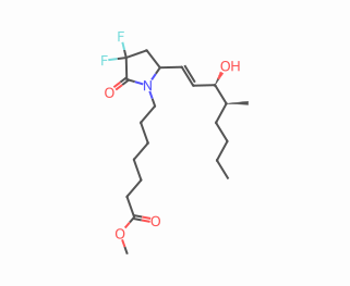 CCCC[C@H](C)[C@H](O)C=CC1CC(F)(F)C(=O)N1CCCCCCC(=O)OC